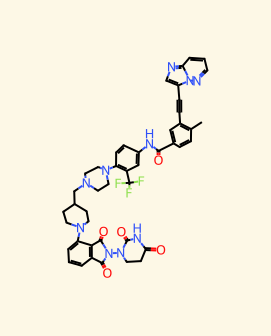 Cc1ccc(C(=O)Nc2ccc(N3CCN(CC4CCN(c5cccc6c5C(=O)N(N5CCC(=O)NC5=O)C6=O)CC4)CC3)c(C(F)(F)F)c2)cc1C#Cc1cnc2cccnn12